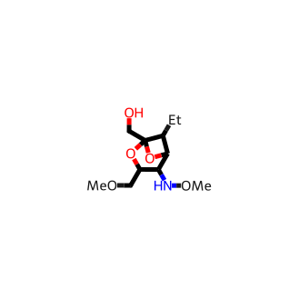 CCC1C2OC1(CO)OC(COC)C2NOC